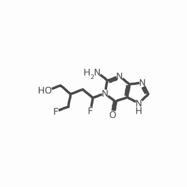 Nc1nc2nc[nH]c2c(=O)n1C(F)CC(CO)CF